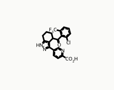 O=C(O)c1ccc(-c2n[nH]c3c2C(C(=O)c2c(Cl)cccc2C(F)(F)F)CCC3)cn1